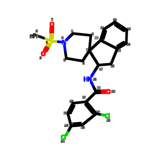 CCCS(=O)(=O)N1CCC2(CC1)c1ccccc1CC2NC(=O)c1ccc(Cl)cc1Cl